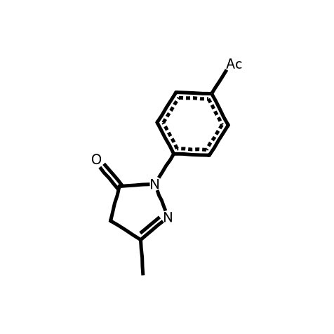 CC(=O)c1ccc(N2N=C(C)CC2=O)cc1